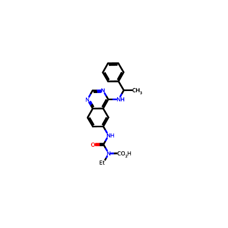 CCN(C(=O)O)C(=O)Nc1ccc2ncnc(NC(C)c3ccccc3)c2c1